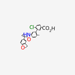 Cc1ccc(NC(=O)C2(c3ccc4c(c3)CCO4)CC2)cc1-c1cc(C(=O)O)ccc1Cl